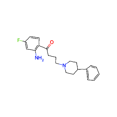 Nc1cc(F)ccc1C(=O)CCCN1CCC(c2ccccc2)CC1